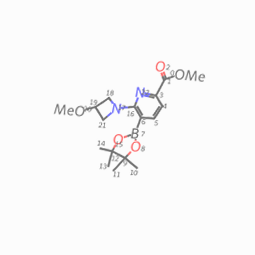 COC(=O)c1ccc(B2OC(C)(C)C(C)(C)O2)c(N2CC(OC)C2)n1